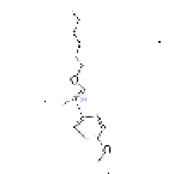 CCCCCCO/C=C(\C)c1ccc(OC)cc1